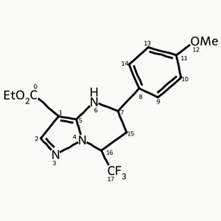 CCOC(=O)c1cnn2c1NC(c1ccc(OC)cc1)CC2C(F)(F)F